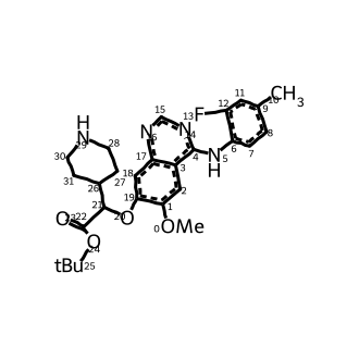 COc1cc2c(Nc3ccc(C)cc3F)ncnc2cc1OC(C(=O)OC(C)(C)C)C1CCNCC1